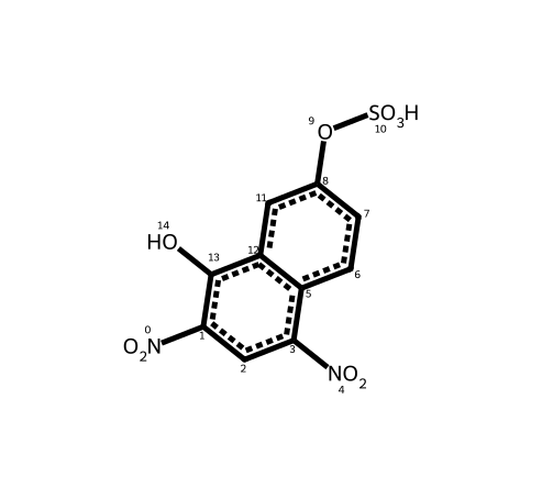 O=[N+]([O-])c1cc([N+](=O)[O-])c2ccc(OS(=O)(=O)O)cc2c1O